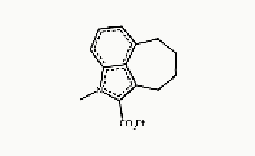 CCOC(=O)c1c2c3c(cccc3n1C)CCCC2